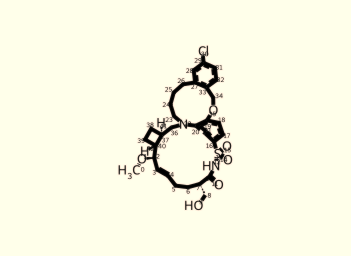 CO[C@@H]1/C=C/CC[C@@H](CO)C(=O)NS(=O)(=O)c2ccc3c(c2)N(CCCCc2cc(Cl)ccc2CO3)C[C@@H]2CC[C@H]21